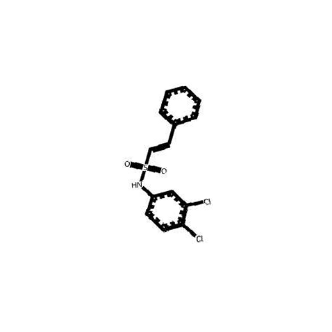 O=S(=O)(C=Cc1ccccc1)Nc1ccc(Cl)c(Cl)c1